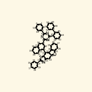 c1ccc(-c2nc(-c3cc(-c4c5sc(-c6ccccc6)nc5cc5oc6ccccc6c45)c4ccccc4c3)nc(-c3ccccc3-c3ccccc3)n2)cc1